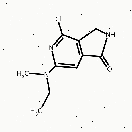 CCN(C)c1cc2c(c(Cl)n1)CNC2=O